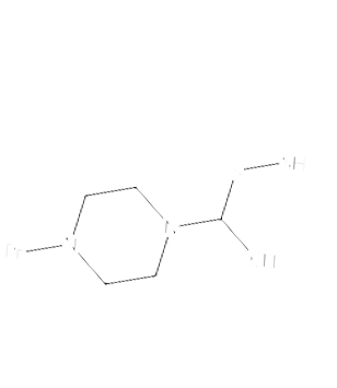 CC(C)N1CCN(C(C)SS)CC1